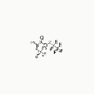 C=C(CC(F)(F)F)C(=O)OCC(F)(F)C(F)(F)F